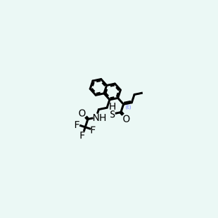 CC/C=C(/C(=O)S)c1ccc2ccccc2c1CCNC(=O)C(F)(F)F